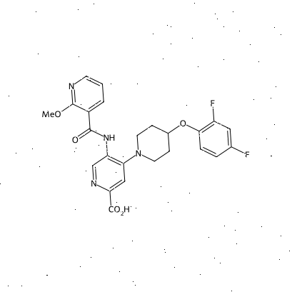 COc1ncccc1C(=O)Nc1cnc(C(=O)O)cc1N1CCC(Oc2ccc(F)cc2F)CC1